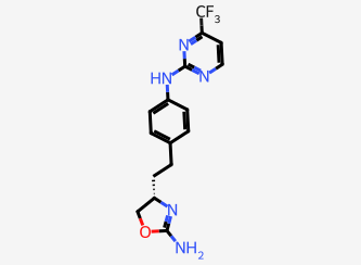 NC1=N[C@@H](CCc2ccc(Nc3nccc(C(F)(F)F)n3)cc2)CO1